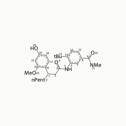 CCCCCC(CC(=O)Nc1cc(C(=O)NC)ccc1C(C)(C)C)c1ccc(O)cc1OC